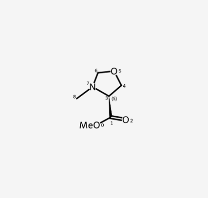 COC(=O)[C@@H]1COCN1C